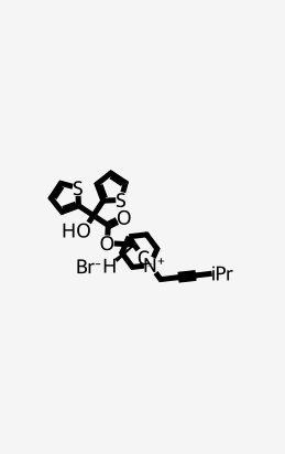 CC(C)C#CC[N+]12CCC(CC1)[C@@H](OC(=O)C(O)(c1cccs1)c1cccs1)C2.[Br-]